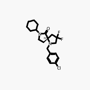 O=C1N(C2CCCCC2)CC[C@]12CC(F)(F)CN2Cc1ccc(Cl)cc1